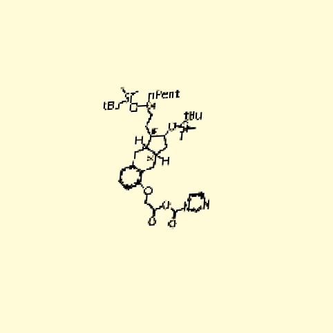 CCCCC[C@@H](CC[C@H]1C(O[Si](C)(C)C(C)(C)C)C[C@@H]2Cc3c(cccc3OCC(=O)OC(=O)n3ccnc3)C[C@@H]21)O[Si](C)(C)C(C)(C)C